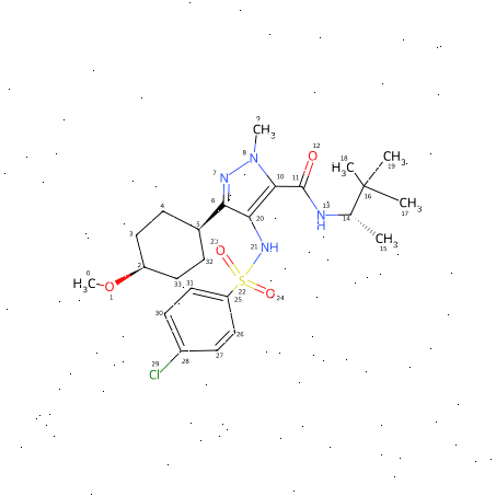 CO[C@H]1CC[C@@H](c2nn(C)c(C(=O)N[C@@H](C)C(C)(C)C)c2NS(=O)(=O)c2ccc(Cl)cc2)CC1